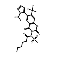 CCCCCC(=O)N(n1c(=O)[nH]c2cc(C(F)(F)F)c(-c3ccnn3C(C)C)cc2c1=O)S(C)(=O)=O